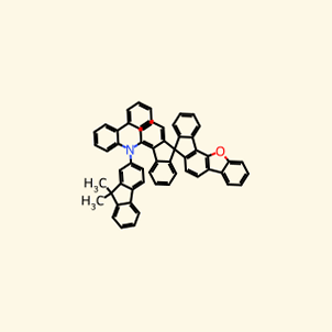 CC1(C)c2ccccc2-c2ccc(N(c3ccccc3-c3ccccc3)c3cccc4c3-c3ccccc3C43c4ccccc4-c4c3ccc3c4oc4ccccc43)cc21